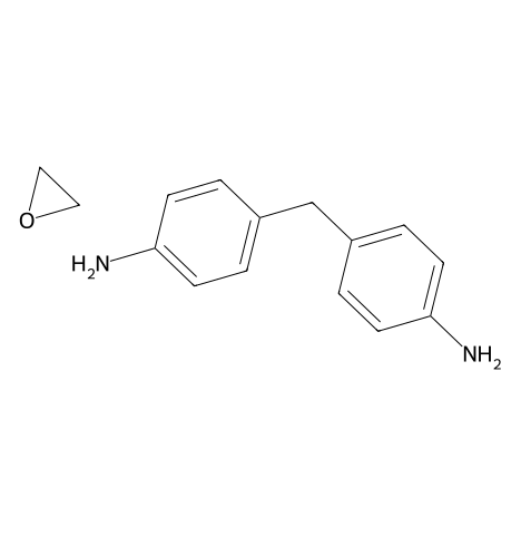 C1CO1.Nc1ccc(Cc2ccc(N)cc2)cc1